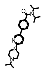 CC(C)N1CCN(c2ccc(-c3ccc(C(=O)N(C(C)C)C(C)C)cc3)cn2)CC1